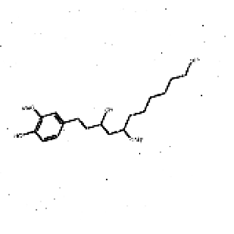 COc1cc(CCC(O)CC(CCCCCCO)OC)ccc1O